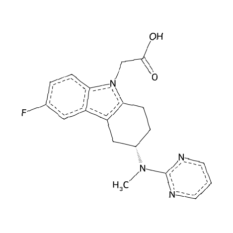 CN(c1ncccn1)[C@H]1CCc2c(c3cc(F)ccc3n2CC(=O)O)C1